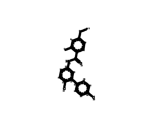 Cc1nc(CF)ccc1C(=O)Nc1ccc(Cl)c(-c2ccc(Cl)cn2)c1